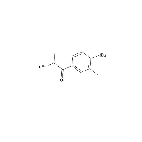 CCCN(C)C(=O)c1ccc(C(C)(C)C)c(C)c1